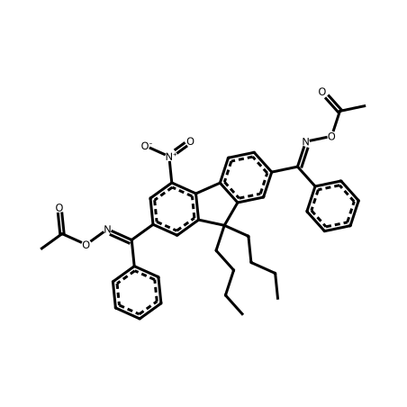 CCCCC1(CCCC)c2cc(/C(=N/OC(C)=O)c3ccccc3)ccc2-c2c([N+](=O)[O-])cc(/C(=N/OC(C)=O)c3ccccc3)cc21